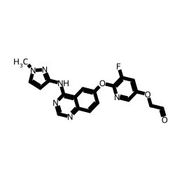 Cn1ccc(Nc2ncnc3ccc(Oc4ncc(OCC=O)cc4F)cc23)n1